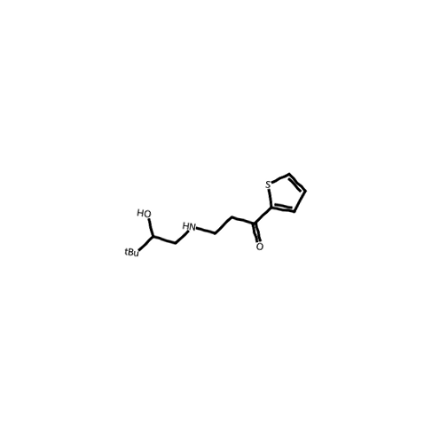 CC(C)(C)C(O)CNCCC(=O)c1cccs1